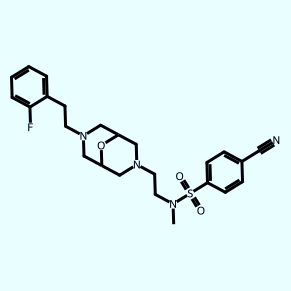 CN(CCN1CC2CN(CCc3ccccc3F)CC(C1)O2)S(=O)(=O)c1ccc(C#N)cc1